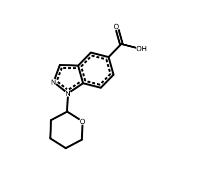 O=C(O)c1ccc2c(cnn2C2CCCCO2)c1